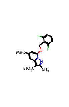 CCOC(=O)c1c(C)nn2c(OCc3c(F)cccc3F)cc(OC)cc12